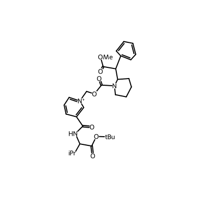 COC(=O)C(c1ccccc1)C1CCCCN1C(=O)OC[n+]1cccc(C(=O)NC(C(=O)OC(C)(C)C)C(C)C)c1